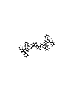 c1ccc(N(c2ccc3c(c2)oc2ccc4c(ccc5sc6cc(N(c7ccccc7)c7ccc8c(c7)c7c9ccccc9ccc7n8-c7ccccc7)ccc6c54)c23)c2ccc3c(c2)c2c4ccccc4ccc2n3-c2ccccc2)cc1